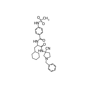 CS(=O)(=O)Nc1ccc(C(=O)NC(CC2CCCCC2)C(=O)NC2(C#N)CCN(Cc3ccccc3)C2)cc1